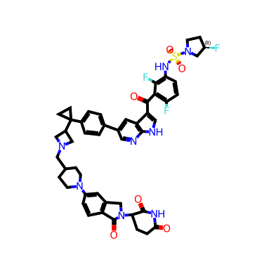 O=C1CCC(N2Cc3cc(N4CCC(CN5CC(C6(c7ccc(-c8cnc9[nH]cc(C(=O)c%10c(F)ccc(NS(=O)(=O)N%11CC[C@@H](F)C%11)c%10F)c9c8)cc7)CC6)C5)CC4)ccc3C2=O)C(=O)N1